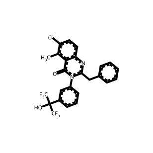 Cc1c(Cl)ccc2nc(Cc3ccccc3)n(-c3cccc(C(O)(C(F)(F)F)C(F)(F)F)c3)c(=O)c12